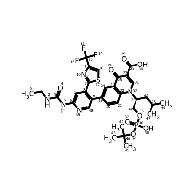 CCNC(=O)Nc1cc(-c2nc(C(F)(F)F)cs2)c(-c2ccc3c(c2)c(=O)c(C(=O)O)cn3[C@H](COP(=O)(O)OC(C)(C)C)CC(C)C)cn1